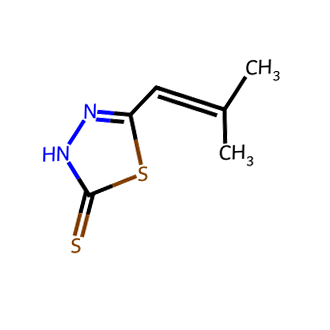 CC(C)=Cc1n[nH]c(=S)s1